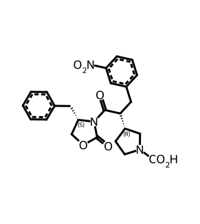 O=C(O)N1CC[C@H](C(Cc2cccc([N+](=O)[O-])c2)C(=O)N2C(=O)OC[C@@H]2Cc2ccccc2)C1